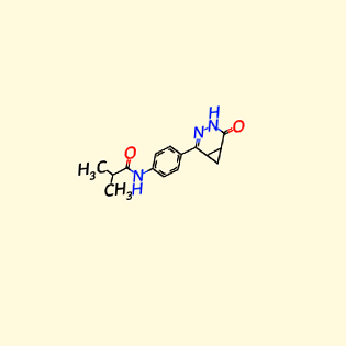 CC(C)C(=O)Nc1ccc(C2=NNC(=O)C3CC23)cc1